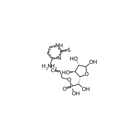 C=CCOP(=O)(O)C(O)[C@H]1OC(O)[C@@H](O)[C@@H]1O.Nc1cc[nH]c(=S)n1